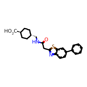 O=C(Cc1nc2ccc(-c3ccccc3)cc2s1)NC[C@H]1CC[C@H](C(=O)O)CC1